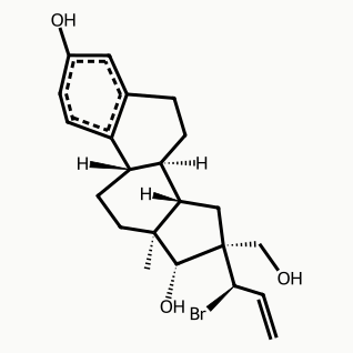 C=C[C@@H](Br)[C@]1(CO)C[C@H]2[C@@H]3CCc4cc(O)ccc4[C@H]3CC[C@]2(C)[C@H]1O